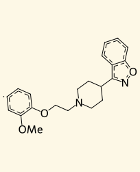 COc1c[c]ccc1OCCN1CCC(c2noc3ccccc23)CC1